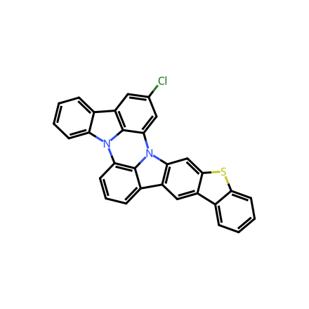 Clc1cc2c3ccccc3n3c4cccc5c6cc7c(cc6n(c(c1)c23)c54)sc1ccccc17